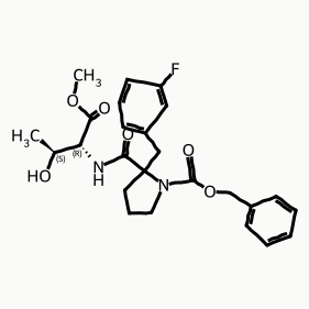 COC(=O)[C@H](NC(=O)C1(Cc2cccc(F)c2)CCCN1C(=O)OCc1ccccc1)[C@H](C)O